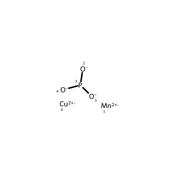 [Cu+2].[Mn+2].[O-]P([O-])[O-]